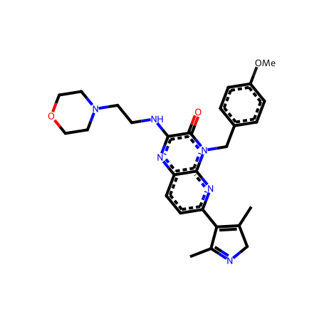 COc1ccc(Cn2c(=O)c(NCCN3CCOCC3)nc3ccc(C4=C(C)CN=C4C)nc32)cc1